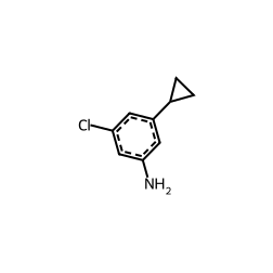 Nc1cc(Cl)cc(C2CC2)c1